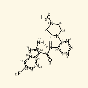 CN1CCN(c2ncncc2NC(=O)c2c(N)nn3cc(F)cnc23)CC1